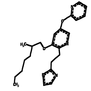 CCCCCC(C)COc1cc(Oc2ccccn2)cnc1CCc1nccs1